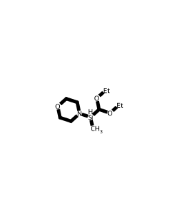 CCOC(OCC)[SiH](C)N1CCOCC1